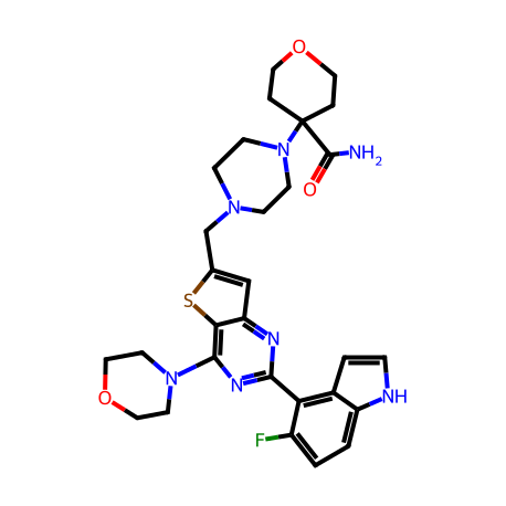 NC(=O)C1(N2CCN(Cc3cc4nc(-c5c(F)ccc6[nH]ccc56)nc(N5CCOCC5)c4s3)CC2)CCOCC1